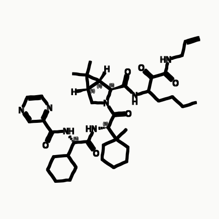 C=CCNC(=O)C(=O)C(CCCC)NC(=O)[C@@H]1[C@@H]2[C@H](CN1C(=O)[C@@H](NC(=O)[C@@H](NC(=O)c1cnccn1)C1CCCCC1)C1(C)CCCCC1)C2(C)C